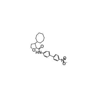 O=C(Nc1ccc(-c2ccc([N+](=O)[O-])cc2)cc1)C1OCCC1C1CCCCCCC1